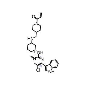 C=CC(=O)N1CCC(CNC2CCC[C@@H](N/C(N=C)=N/C(=C(\C)Cl)c3c[nH]c4ccccc34)C2)CC1